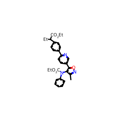 CCOC(=O)C(CC)c1ccc(-c2ccc(-c3onc(C)c3N(C(=O)OCC)c3ccccc3)cn2)cc1